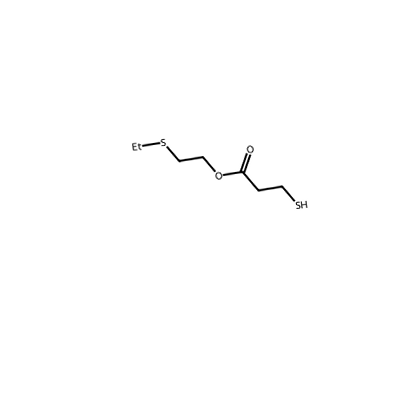 CCSCCOC(=O)CCS